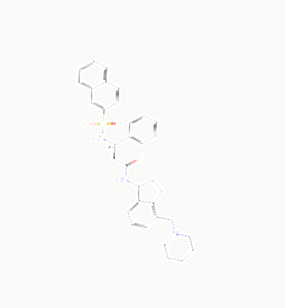 O=C(C[C@@H](NS(=O)(=O)c1ccc2ccccc2c1)c1ccccc1)NC1CCc2c(CN3CCCCC3)cccc21